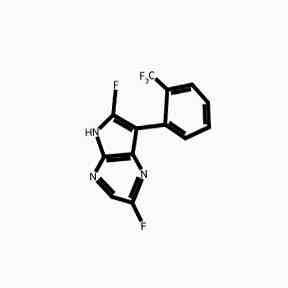 Fc1cnc2[nH]c(F)c(-c3ccccc3C(F)(F)F)c2n1